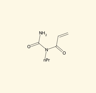 C=CC(=O)N(CCC)C(N)=O